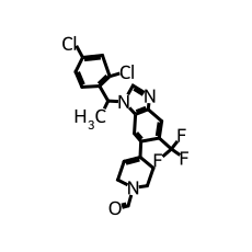 CC(c1ccc(Cl)cc1Cl)n1cnc2cc(C(F)(F)F)c(C3=CCN(C=O)CC3)cc21